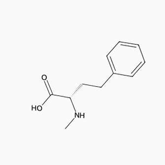 CN[C@@H](CCc1ccccc1)C(=O)O